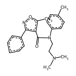 Cc1ccc(N(CCN(C)C)C(=O)c2c(-c3ccccc3)noc2C)cc1